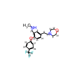 CNCc1cc(CCN2CCOCC2)ccc1Oc1ccc(C(F)(F)F)cc1